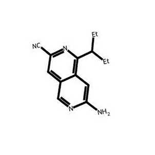 CCC(CC)c1nc(C#N)cc2cnc(N)cc12